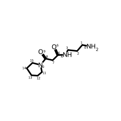 NCCCNC(=O)CC(=O)N1CCCCC1